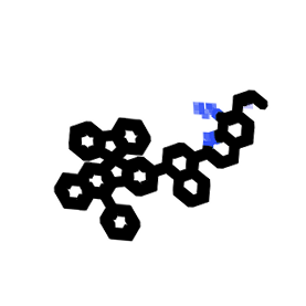 C/C=C\C1=C(N)C2=NC(C3=C4C=CC=CC4C(c4ccc5c(c4)C4(c6ccccc6-c6ccccc64)c4cc6ccccc6c(-c6ccccc6)c4-5)C=C3)=CCC2C=C1